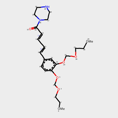 COCCOCOc1ccc(/C=C/C=C/C(=O)N2CCNCC2)cc1OCOCCOC